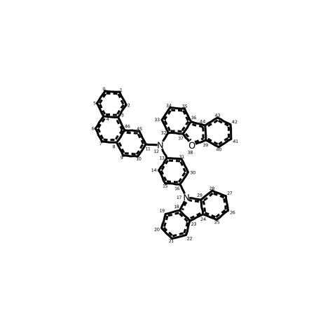 c1ccc2c(c1)ccc1ccc(N(c3ccc(-n4c5ccccc5c5ccccc54)cc3)c3cccc4c3oc3ccccc34)cc12